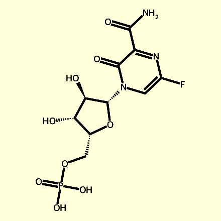 NC(=O)c1nc(F)cn([C@@H]2O[C@H](COP(=O)(O)O)[C@H](O)[C@H]2O)c1=O